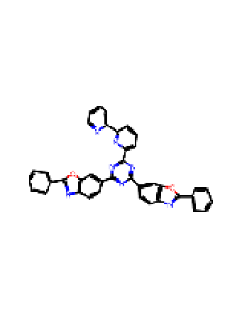 c1ccc(-c2nc3ccc(-c4nc(-c5ccc6nc(-c7ccccc7)oc6c5)nc(-c5cccc(-c6ccccn6)n5)n4)cc3o2)cc1